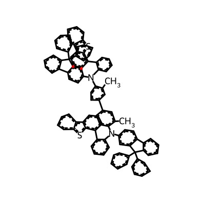 Cc1cc(-c2ccc(N(c3ccc4c(c3)C(c3ccccc3)(c3ccccc3)c3ccccc3-4)c3ccccc3-c3cccc4c3sc3ccccc34)c(C)c2)ccc1N(c1ccc2c(c1)C(c1ccccc1)(c1ccccc1)c1ccccc1-2)c1ccccc1-c1cccc2c1sc1ccccc12